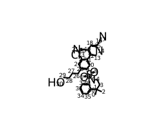 CC1(C)CCN(S(=O)(=O)c2cc(-c3cnc(C#N)cc3C#N)c(Cl)cc2CCCCO)c2ccccc21